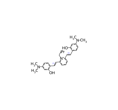 CC(C)C[n+]1c(/C=C/c2ccc(N(C)C)cc2O)cccc1/C=C/c1ccc(N(C)C)cc1O